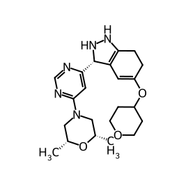 C[C@@H]1CN(c2cc([C@@H]3NNC4=C3C=C(OC3CCOCC3)CC4)ncn2)C[C@H](C)O1